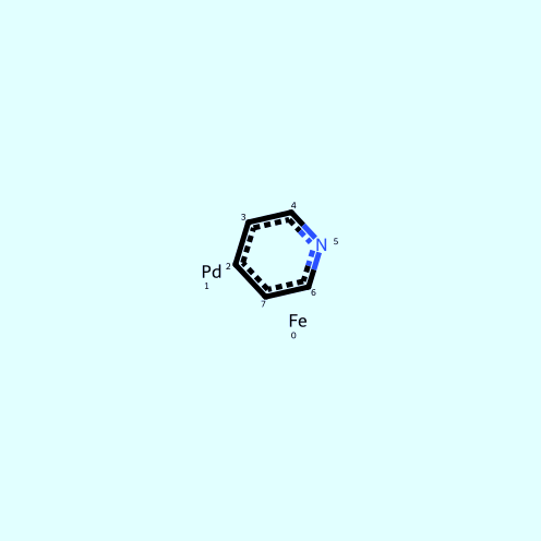 [Fe].[Pd].c1ccncc1